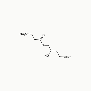 CCCCCCCCCCC(O)COC(=O)CCC(=O)O